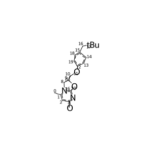 Cc1cc(=O)nc2n1C[C@@H](COc1ccc(CC(C)(C)C)cc1)O2